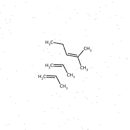 C=CC.C=CC.CCC=C(C)C